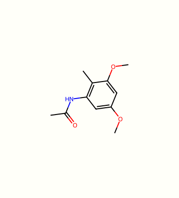 COc1cc(NC(C)=O)c(C)c(OC)c1